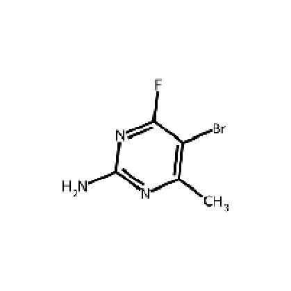 Cc1nc(N)nc(F)c1Br